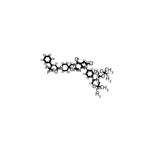 CC(C)(C)OC(=O)N1CC(C)(C)OC[C@H]1c1ccc(-n2c(Cl)cc3c(=O)n(CC4(O)CCN(C(=O)C[C@H](c5ccccc5)C(F)(F)F)CC4)cnc32)cc1